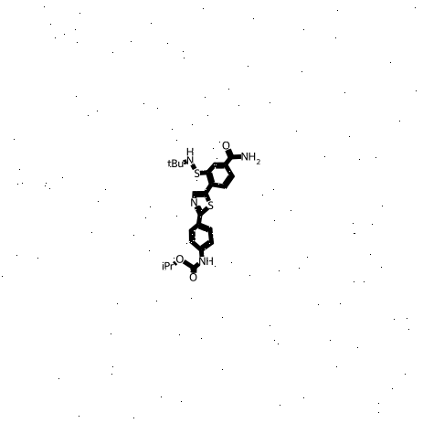 CC(C)OC(=O)Nc1ccc(-c2ncc(-c3ccc(C(N)=O)cc3SNC(C)(C)C)s2)cc1